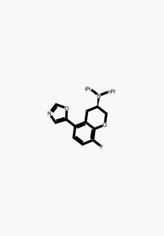 CCCN(C(C)C)[C@H]1COc2c(F)ccc(-c3cnco3)c2C1